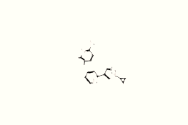 Cc1nc([N+](=O)[O-])ccc1Oc1ccnc(-c2cnn(C3CC3)c2)c1